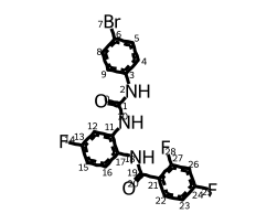 O=C(Nc1ccc(Br)cc1)Nc1cc(F)ccc1NC(=O)c1ccc(F)cc1F